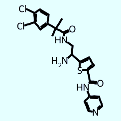 CC(C)(C(=O)NCC(N)c1ccc(C(=O)Nc2ccncc2)s1)c1ccc(Cl)c(Cl)c1